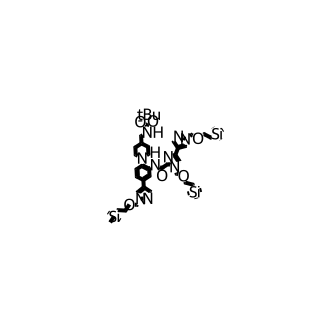 CC(C)(C)OC(=O)NCC1CCN(c2ccc(-c3cnn(COCC[Si](C)(C)C)c3)cc2NC(=O)c2nc(-c3cnn(COCC[Si](C)(C)C)c3)cn2COCC[Si](C)(C)C)CC1